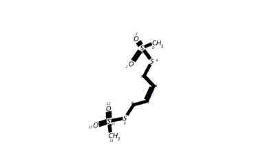 CS(=O)(=O)SC/C=C\CSS(C)(=O)=O